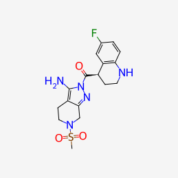 CS(=O)(=O)N1CCc2c(nn(C(=O)[C@@H]3CCNc4ccc(F)cc43)c2N)C1